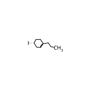 CCCC1=CC[C@H](I)CC1